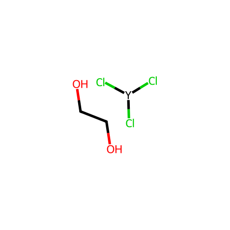 OCCO.[Cl][Y]([Cl])[Cl]